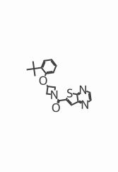 CC(C)(C)c1ccccc1OC1CN(C(=O)c2cc3nccnc3s2)C1